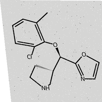 Cc1cccc(Cl)c1O[C@@H](c1ncco1)[C@H]1CCNC1